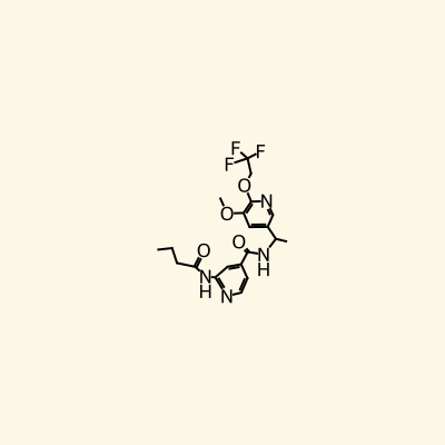 CCCC(=O)Nc1cc(C(=O)NC(C)c2cnc(OCC(F)(F)F)c(OC)c2)ccn1